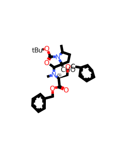 CC1CCC(C=O)(C(C)N(C)[C@@H](COCc2ccccc2)C(=O)OCc2ccccc2)N1C(=O)OC(C)(C)C